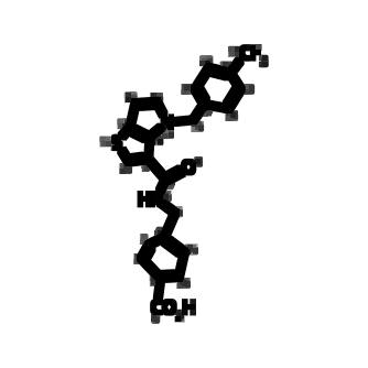 O=C(O)c1ccc(CNC(=O)c2csc3ccn(Cc4ccc(C(F)(F)F)cc4)c23)cc1